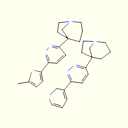 C1=CNCC(c2ccc(C34CCCN(CC3)C4)nn2)=C1.Cc1ccc(-c2ccc(C34CCCN(CC3)C4)nn2)s1.Cl